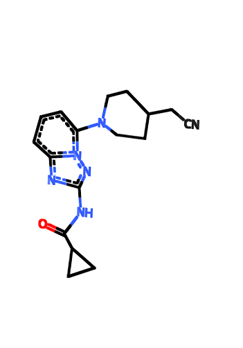 N#CCC1CCN(c2cccc3nc(NC(=O)C4CC4)nn23)CC1